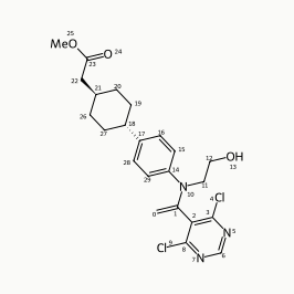 C=C(c1c(Cl)ncnc1Cl)N(CCO)c1ccc([C@H]2CC[C@H](CC(=O)OC)CC2)cc1